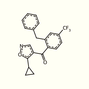 O=C(c1ccc(C(F)(F)F)cc1Cc1ccccc1)c1cnoc1C1CC1